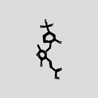 Cc1nc(Cl)c(/C=C/C(=O)O)n1Cc1ccc(C(F)(F)F)cc1Cl